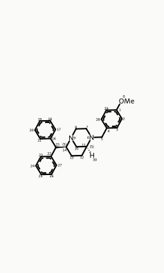 COc1ccc(CN2CCN3C[C@@H]2CC[C@H]3C(c2ccccc2)c2ccccc2)cc1